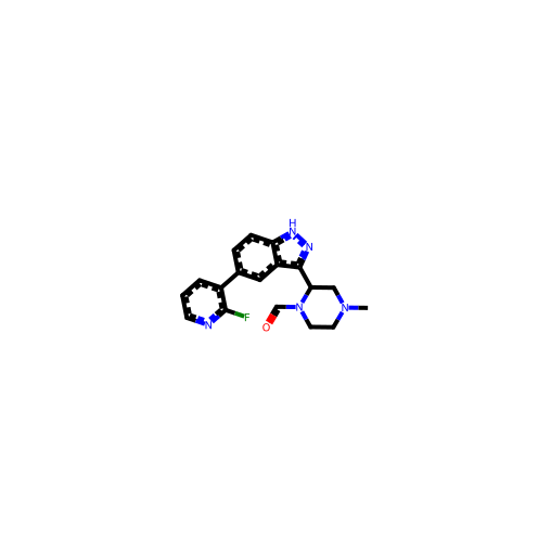 CN1CCN(C=O)C(c2n[nH]c3ccc(-c4cccnc4F)cc23)C1